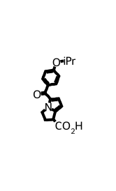 CC(C)Oc1ccc(C(=O)c2ccc3n2CCC3C(=O)O)cc1